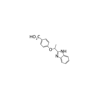 CC(Oc1ccc(C(=O)O)cc1)c1nc2ccccc2[nH]1